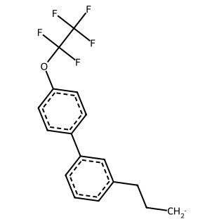 [CH2]CCc1cccc(-c2ccc(OC(F)(F)C(F)(F)F)cc2)c1